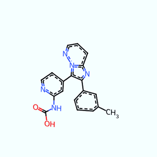 Cc1cccc(-c2nc3cccnn3c2-c2ccnc(NC(=O)O)c2)c1